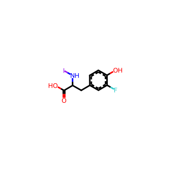 O=C(O)C(Cc1ccc(O)c(F)c1)NI